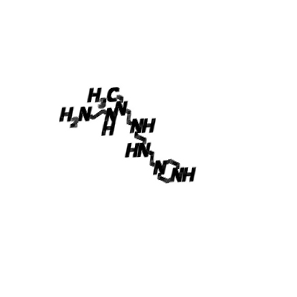 CCN(CCNCCNCCN1CCNCC1)NCCN